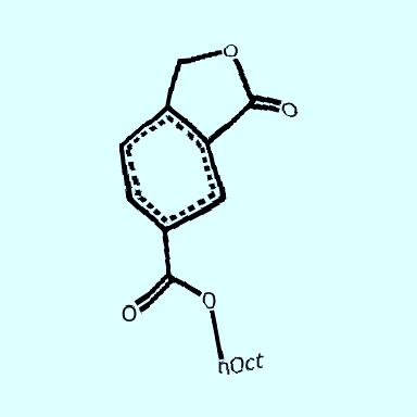 CCCCCCCCOC(=O)c1ccc2c(c1)C(=O)OC2